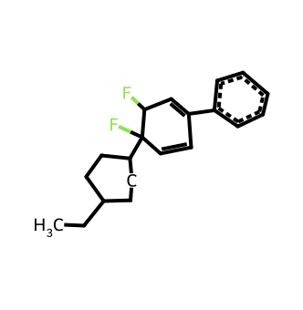 CCC1CCC(C2(F)C=CC(c3ccccc3)=CC2F)CC1